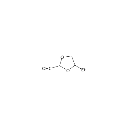 CCC1COC(C=O)O1